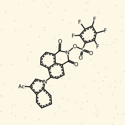 CC(=O)c1cn(-c2ccc3c4c(cccc24)C(=O)N(OS(=O)(=O)c2c(F)c(F)c(F)c(F)c2F)C3=O)c2ccccc12